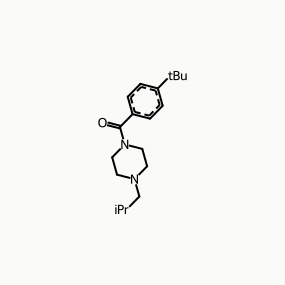 CC(C)CN1CCN(C(=O)c2ccc(C(C)(C)C)cc2)CC1